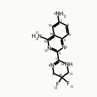 Nc1ccc2nc(C3=NCC(F)(F)CN3)nc(N)c2c1